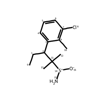 CCC(c1cccc(Cl)c1C)C(C)(C)[S+](N)[O-]